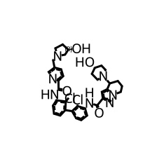 O=C(Nc1cccc(-c2cccc(NC(=O)c3cc4n(n3)CCCC4N3CCC(O)CC3)c2Cl)c1Cl)c1ccc(CN2CC[C@@H](O)C2)cn1